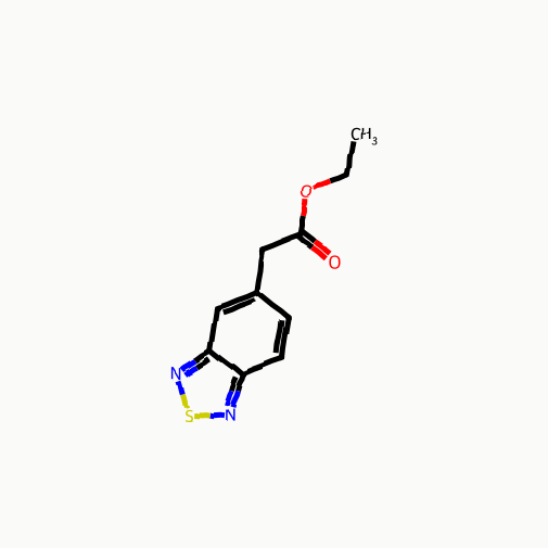 CCOC(=O)Cc1ccc2nsnc2c1